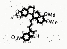 COc1ccc2c(CCCc3c[nH]c4ccc([N+](=O)[O-])cc34)c3[n+](cc2c1OC)CCc1cc2c(cc1-3)OCO2.[I-]